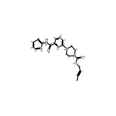 CC#CCOC(=O)N1CCN(c2cncc(C(=O)Nc3ccccn3)n2)CC1